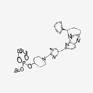 CC(C)COP(=O)(OC1CCN(c2ncc(-c3ccc4nc5n(c4n3)[C@@H](c3ccccc3)CC5)cn2)CC1)OC(C)(C)C